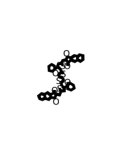 O=C1C(=Cc2cc3c(s2)-c2sc4c5c(sc4c2OC32CCCCC2)-c2sc(C=C3C(=O)c4cc6ccccc6cc4C3=O)cc2C2(CCCCC2)O5)C(=O)c2cc3ccccc3cc21